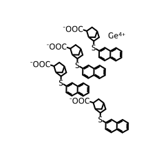 O=C([O-])C1CC2CC(Sc3ccc4ccccc4c3)C1C2.O=C([O-])C1CC2CC(Sc3ccc4ccccc4c3)C1C2.O=C([O-])C1CC2CC(Sc3ccc4ccccc4c3)C1C2.O=C([O-])C1CC2CC(Sc3ccc4ccccc4c3)C1C2.[Ge+4]